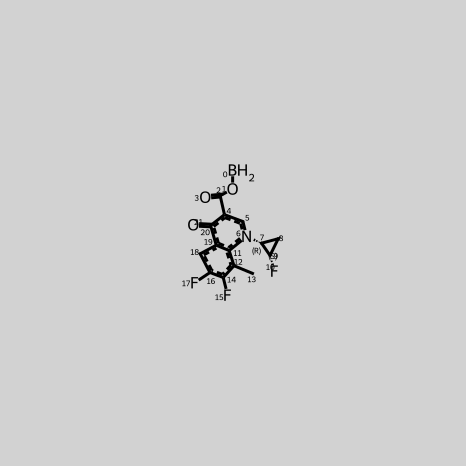 BOC(=O)c1cn([C@@H]2C[C@@H]2F)c2c(C)c(F)c(F)cc2c1=O